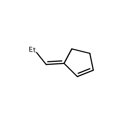 CCC=C1C=CCC1